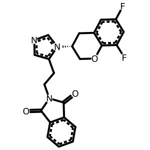 O=C1c2ccccc2C(=O)N1CCc1cncn1[C@H]1COc2c(F)cc(F)cc2C1